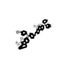 CC(C)(C)c1ccc(N(c2ccc(/C=C/c3ccc4c(c3)C(C)(C)c3cc(N(c5ccccc5)c5ccccc5)ccc3-4)cc2)c2ccc3c(c2)C(C)(C)c2ccccc2-3)cc1